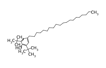 CCCCCCCCCCCCCCCCCCCCc1cc(C(C)(C)C)c(O)c(C(C)(C)C)c1